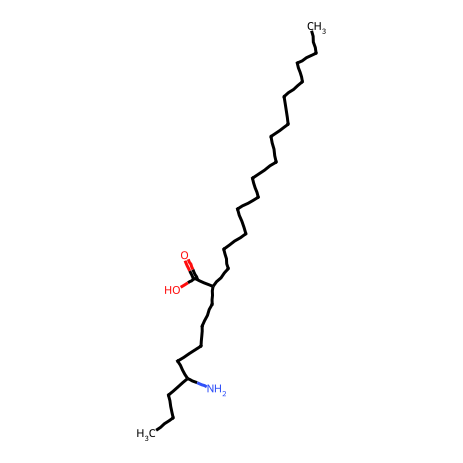 CCCCCCCCCCCCCCC(CCCCC(N)CCC)C(=O)O